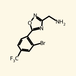 NCc1noc(-c2ccc(C(F)(F)F)cc2Br)n1